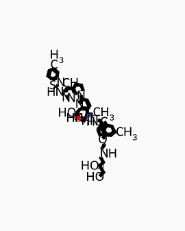 C/C(NCC1CC2(C)CC3(C)CC1CC(OCCNCC[C@H](O)CO)(C2)C3)=C(/C=N)c1ccc(N2CCCc3c2nnc(Nc2nc4cc(C)ccc4s2)c3C)nc1C(=O)O